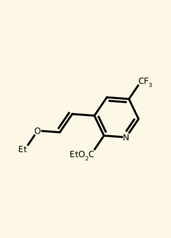 CCO/C=C/c1cc(C(F)(F)F)cnc1C(=O)OCC